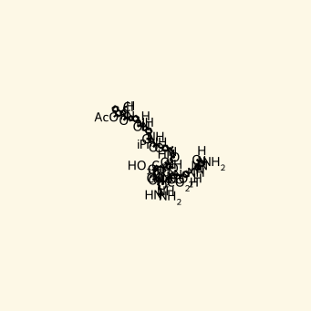 CC(=O)Oc1cc2c(c3ccccc13)C(CCl)CN2C(=O)c1cc2cc(NC(=O)c3cc4cc(NC(=O)[C@@H](NC(=O)COc5ccc(/C(C)=N\NC(=O)CCN6C(=O)CC(SCC(NC(=O)[C@@H](CC(=O)O)NC(=O)[C@@H](CCCNC(=N)N)NC(=O)[C@H](CC(=O)O)NC(=O)CC[C@H](NC(=O)c7ccc(NCc8cnc9nc(N)[nH]c(=O)c9n8)cc7)C(=O)O)C(=O)O)C6=O)cc5)C(C)C)ccc4[nH]3)ccc2[nH]1